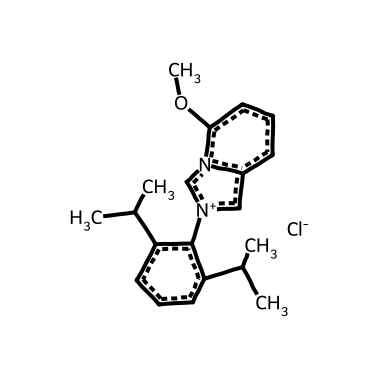 COc1cccc2c[n+](-c3c(C(C)C)cccc3C(C)C)cn12.[Cl-]